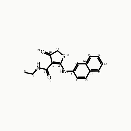 CCNC(=O)C1=C(Nc2ccc3ccccc3c2)SCC1=O